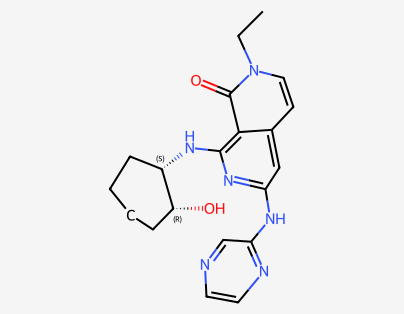 CCn1ccc2cc(Nc3cnccn3)nc(N[C@H]3CCCC[C@H]3O)c2c1=O